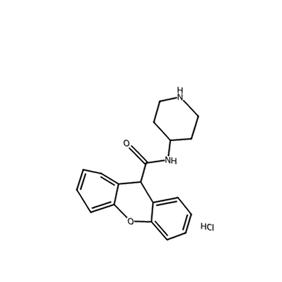 Cl.O=C(NC1CCNCC1)C1c2ccccc2Oc2ccccc21